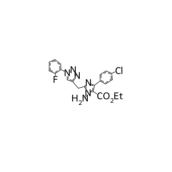 CCOC(=O)c1c(-c2ccc(Cl)cc2)nc(Cc2cn(-c3ccccc3F)nn2)n1N